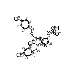 Clc1ccc(CSCOC(Cc2ccc(Cl)cc2Cl)c2ncc[nH]2)cc1.O=[N+]([O-])O